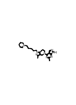 Cc1nc(N2CCc3c(c(C)nn3CCCCCN3CCCCC3)C2)c2cn[nH]c2n1